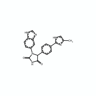 Cc1c[nH]c(-c2ccc(C3C(=O)NC(=O)N3c3ccc4[nH]cnc4c3)cc2)n1